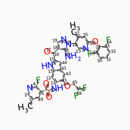 Cc1cnc(F)c(S(=O)(=O)Nc2cc3[nH]c(C(=O)c4cnn(-c5cnc(Oc6c(F)cccc6F)cc5C)c4N)cc3cc2OCC(F)F)c1